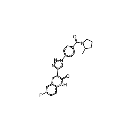 CC1CCCN1C(=O)c1ccc(-n2cc(-c3cc4cc(F)ccc4[nH]c3=O)nn2)cc1